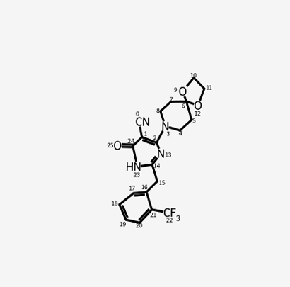 N#Cc1c(N2CCC3(CC2)OCCO3)nc(Cc2ccccc2C(F)(F)F)[nH]c1=O